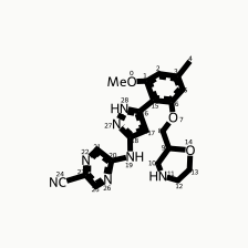 COc1cc(C)cc(OCC2CNCCO2)c1-c1cc(Nc2cnc(C#N)cn2)n[nH]1